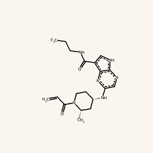 C=CC(=O)N1CC[C@H](Nc2cnc3[nH]cc(C(=O)NCCC(F)(F)F)c3n2)C[C@@H]1C